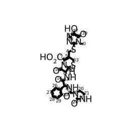 Cn1c(SCC2=C(C(=O)O)N3C(=O)[C@H](NC(=O)C(NC(=O)N4CCNC4=O)c4ccccc4)[C@@H]3SC2)nnc(O)c1=O